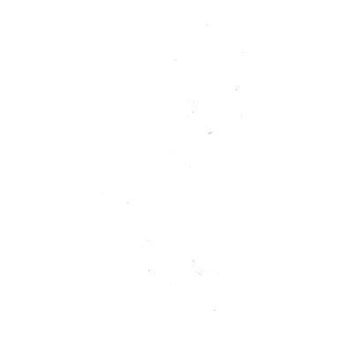 CC(CNCc1ccccc1)C1CCCC(Oc2cccc(C(F)(F)F)c2)C1